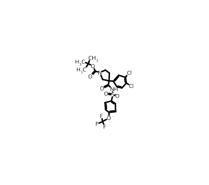 CC(C)(C)OC(=O)N1CCC(C(=O)NS(=O)(=O)c2ccc(OC(F)(F)F)cc2)(c2ccc(Cl)c(Cl)c2)C1